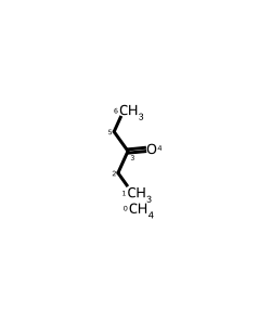 C.CCC(=O)CC